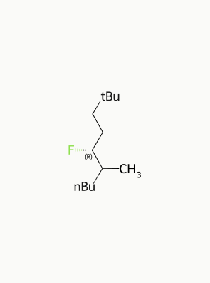 CCCCC(C)[C@H](F)CCC(C)(C)C